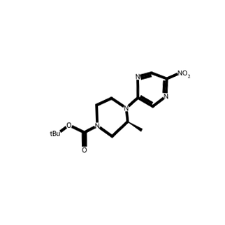 C[C@H]1CN(C(=O)OC(C)(C)C)CCN1c1cnc([N+](=O)[O-])cn1